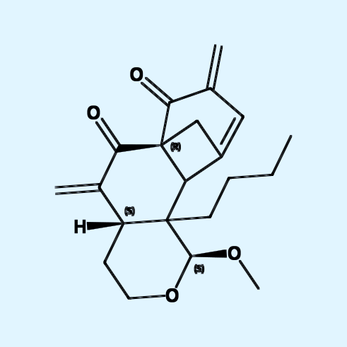 C=C1C=C2C[C@]3(C1=O)C(=O)C(=C)[C@H]1CCO[C@H](OC)C1(CCCC)C23